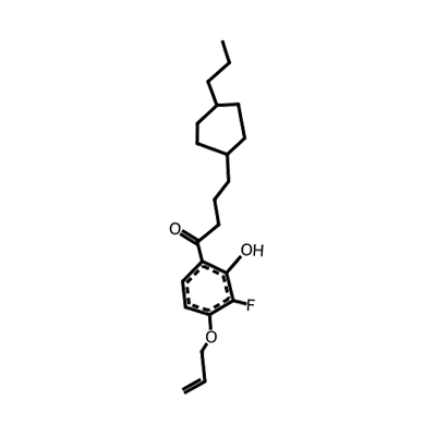 C=CCOc1ccc(C(=O)CCCC2CCC(CCC)CC2)c(O)c1F